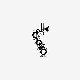 O=C(NC1CC1)Oc1cccc(C2=CCN(S(=O)(=O)C3CCCCC3)CC2)n1